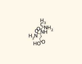 C[C@H](N)C(=O)N[C@@H](CCC(=O)O)C(N)=O